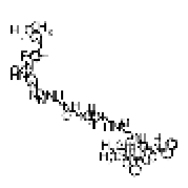 CN[C@@H](C)C(=O)N[C@H](C(=O)N1C[C@@H](NC(=O)CCC(=O)NCCCN2C[C@@H]3CN(CCC(=O)NCCCNc4cc(N5CCC6(CC5)CN(c5cc(F)c(CN7CCC(C)(C)CC7)cc5F)CC(=O)N6)ncn4)C[C@@H]3C2)C[C@H]1C(=O)N[C@H]1CCCc2ccccc21)C1CCCCC1